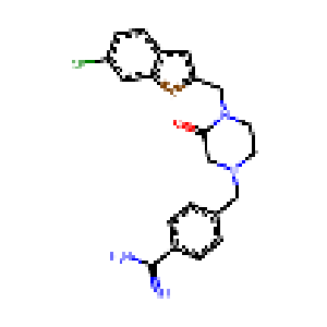 N=C(N)c1ccc(CN2CCN(Cc3cc4ccc(Cl)cc4s3)C(=O)C2)cc1